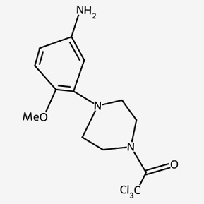 COc1ccc(N)cc1N1CCN(C(=O)C(Cl)(Cl)Cl)CC1